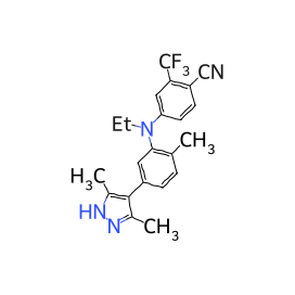 CCN(c1ccc(C#N)c(C(F)(F)F)c1)c1cc(-c2c(C)n[nH]c2C)ccc1C